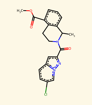 COC(=O)c1cccc2c1CCN(C(=O)c1cc3ccc(Cl)cn3n1)C2C